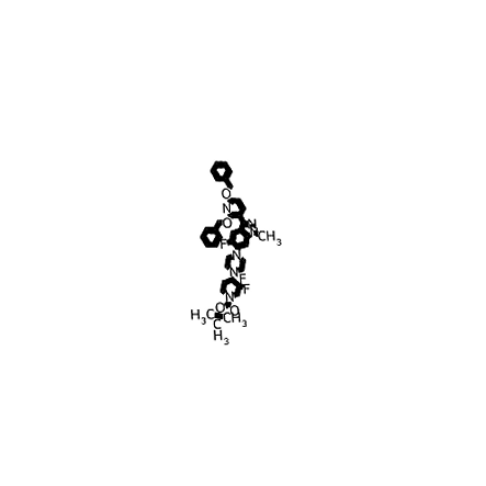 Cn1nc(-c2ccc(OCc3ccccc3)nc2OCc2ccccc2)c2cc(F)c(N3CCN([C@H]4CCN(C(=O)OC(C)(C)C)CC4(F)F)CC3)cc21